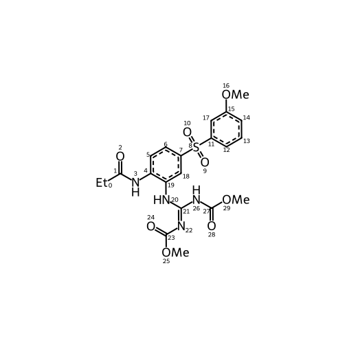 CCC(=O)Nc1ccc(S(=O)(=O)c2cccc(OC)c2)cc1NC(=NC(=O)OC)NC(=O)OC